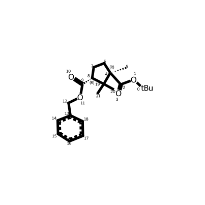 CC(C)(C)OC(=O)[C@]1(C)CC[C@@H](C(=O)OCc2ccccc2)C1(C)C